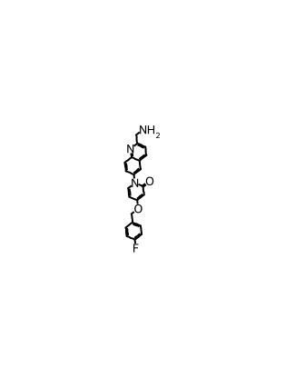 NCc1ccc2cc(-n3ccc(OCc4ccc(F)cc4)cc3=O)ccc2n1